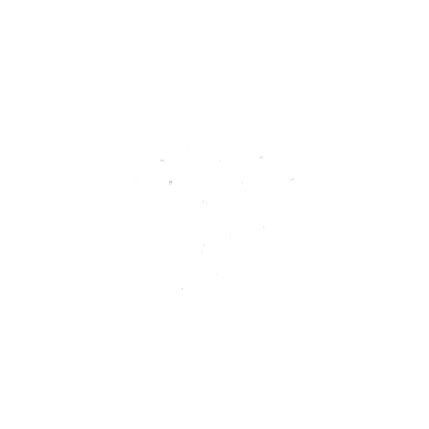 FC(F)C(F)(ON(OC(F)(C(F)F)C(F)(F)F)OC(F)(C(F)F)C(F)(F)F)C(F)(F)F